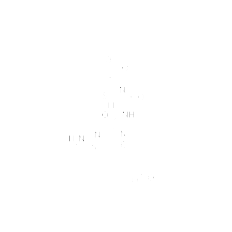 C=CC1(C(=O)OC(c2ccccc2)c2ccccc2)CS[C@@H]2C(NC(=O)C(=NOCCCC(=O)OC(C)(C)C)c3csc(N)n3)C(=O)N2C1